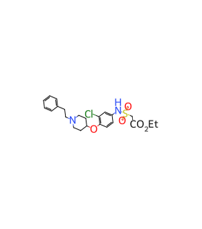 CCOC(=O)CS(=O)(=O)Nc1ccc(OC2CCN(CCc3ccccc3)CC2)c(Cl)c1